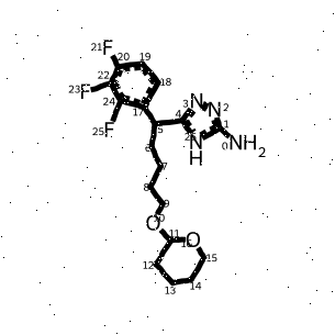 Nc1nnc(C(CCCCOC2CCCCO2)c2ccc(F)c(F)c2F)[nH]1